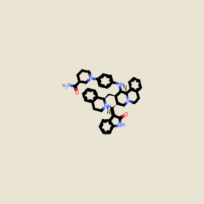 CC(=C1C(=O)Nc2ccccc21)[C@H]1CN2CCc3ccccc3[C@@H]2C(Nc2ccc(N3CCCC(C(N)=O)C3)cc2)[C@@H]1C[C@H]1NCCc2ccccc21